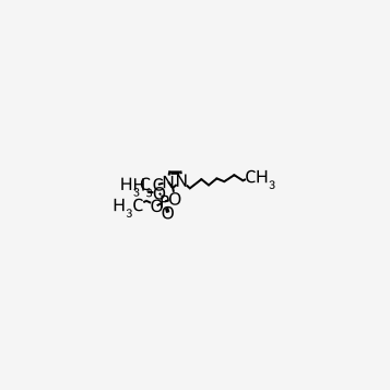 CCCCCCCCN1C=CN(C)C1OP(=O)(OCC)OCC